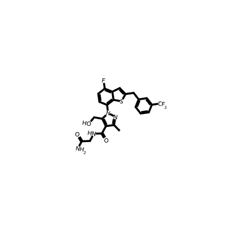 Cc1nn(-c2ccc(F)c3cc(Cc4cccc(C(F)(F)F)c4)sc23)c(CO)c1C(=O)NCC(N)=O